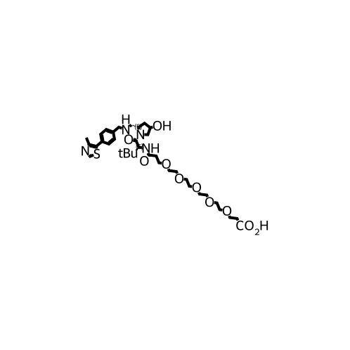 Cc1ncsc1-c1ccc(CNC[C@@H]2CC(O)CN2C(=O)[C@@H](NC(=O)CCOCCOCCOCCOCCOCCC(=O)O)C(C)(C)C)cc1